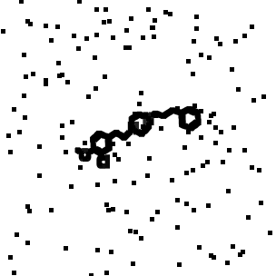 COc1ccc(CCN2CCN(CCCc3ccccc3)CC2)cc1Cl